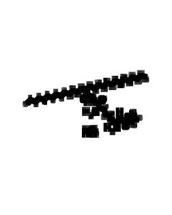 CCCCCCCCCCCCCCN(CCCCCCCCCCCCCC)C(=O)CNC(=O)[C@@H](N)CCCN=C(N)NC(=O)OC(C)(C)C.Cl.Cl